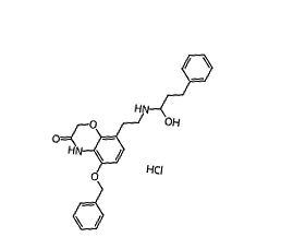 Cl.O=C1COc2c(CCNC(O)CCc3ccccc3)ccc(OCc3ccccc3)c2N1